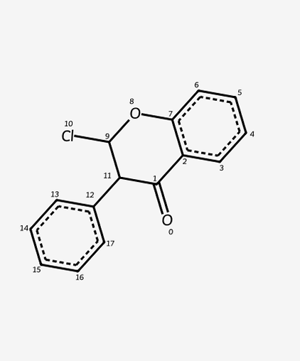 O=C1c2ccccc2OC(Cl)C1c1ccccc1